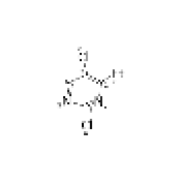 CCc1nc(Cl)ncc1Cl